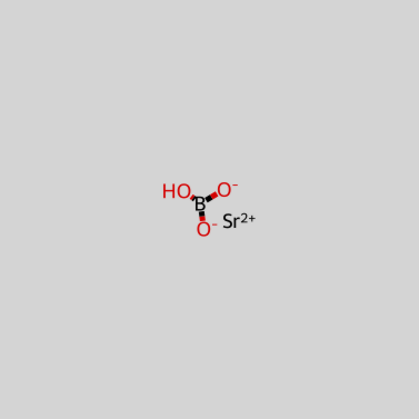 [O-]B([O-])O.[Sr+2]